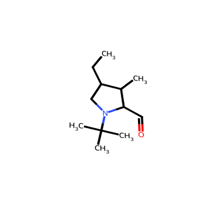 CCC1CN(C(C)(C)C)C(C=O)C1C